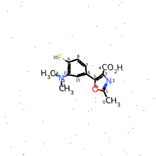 Cc1nc(C(=O)O)c(-c2ccc(F)c(N(C)C)c2)o1